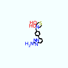 Nc1nc2cccc(-c3ccc(CN4CCSCC4(O)O)cc3)n2n1